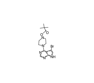 CC(C)(C)C(=O)ON1CCN(c2ncnc3[nH]cc(Br)c23)CC1